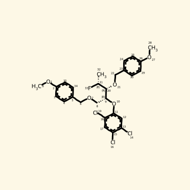 COc1ccc(COC[C@@H](Oc2cc(Cl)c(Cl)cc2Cl)[C@@H](OCc2ccc(OC)cc2)[C@@H](C)F)cc1